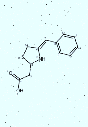 O=C(O)CC1N/C(=C\c2ccccc2)CS1